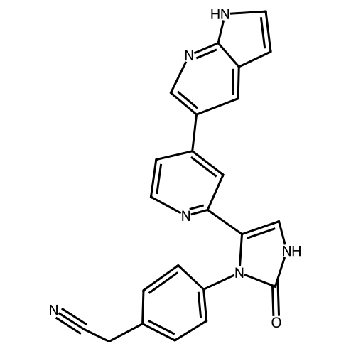 N#CCc1ccc(-n2c(-c3cc(-c4cnc5[nH]ccc5c4)ccn3)c[nH]c2=O)cc1